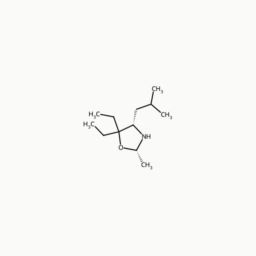 CCC1(CC)O[C@@H](C)N[C@H]1CC(C)C